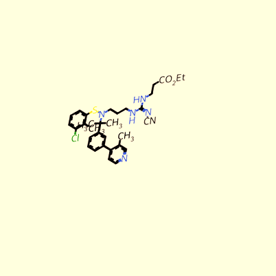 CCOC(=O)CCN/C(=N/C#N)NCCCN(Sc1cccc(Cl)c1C)C(C)(C)c1cccc(-c2ccncc2C)c1